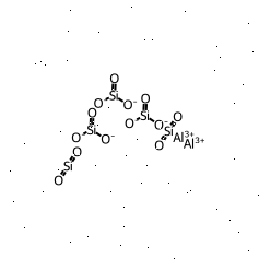 O=[Si]([O-])[O-].O=[Si]([O-])[O-].O=[Si]([O-])[O-].O=[Si]=O.O=[Si]=O.[Al+3].[Al+3]